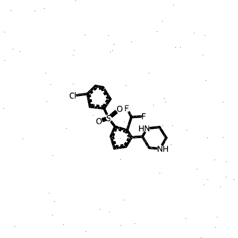 O=S(=O)(c1cccc(Cl)c1)c1cccc(C2CNCCN2)c1C(F)F